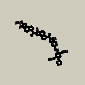 COc1cc(N2CCCC2)c(OC)cc1/N=N/c1ccc2[nH]c(C(=O)N3CCc4c3ccc3[nH]c(C(=O)N5CCc6c5ccc5[nH]c(C(=O)O)cc65)cc43)cc2c1